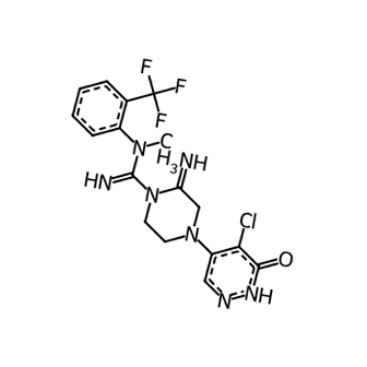 CN(C(=N)N1CCN(c2cn[nH]c(=O)c2Cl)CC1=N)c1ccccc1C(F)(F)F